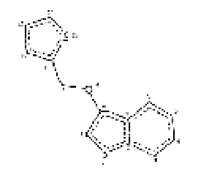 [c]1sc2ccccc2c1OCc1cccs1